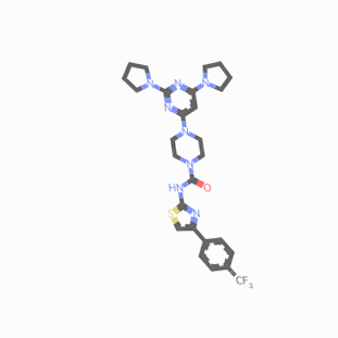 O=C(Nc1nc(-c2ccc(C(F)(F)F)cc2)cs1)N1CCN(c2cc(N3CCCC3)nc(N3CCCC3)n2)CC1